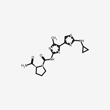 Cc1nc(NC(=O)N2CCC[C@H]2C(N)=O)sc1-c1csc(NC2CC2)n1